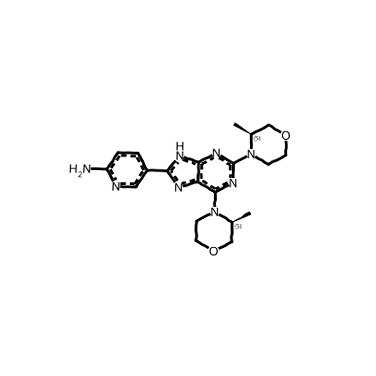 C[C@H]1COCCN1c1nc(N2CCOC[C@@H]2C)c2nc(-c3ccc(N)nc3)[nH]c2n1